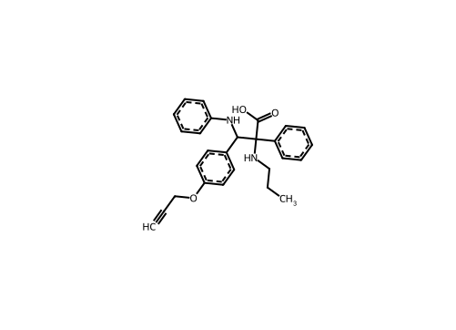 C#CCOc1ccc(C(Nc2ccccc2)C(NCCC)(C(=O)O)c2ccccc2)cc1